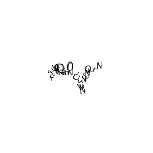 Cc1cc(-c2ccncc2N2CCN(C(=O)C=CCN(C)C)CC2)ccc1CNC(=O)c1nc(C2(CF)CC2)no1